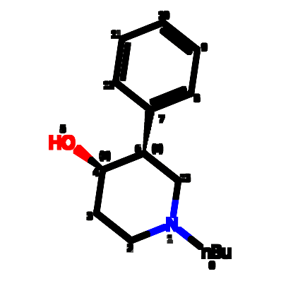 CCCCN1CC[C@@H](O)[C@H](c2ccccc2)C1